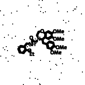 CCOc1ccccc1CNC(=O)CN1CCOc2cc(OC)c(OC)cc2C1Cc1ccc(OC)c(OC)c1